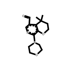 CC1(C)CCOc2c(N3CCOCC3)ncc(C=O)c21